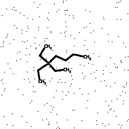 CCCC[B-](CC)(CC)CC